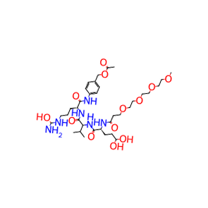 COCCOCCOCCOCCC(=O)N[C@@H](CCC(O)O)C(=O)N[C@H](C(=O)N[C@@H](CCCNC(N)O)C(=O)Nc1ccc(COC(C)=O)cc1)C(C)C